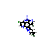 Fc1ccc(-c2nn3c(c2-c2c(F)cnc4[nH]ncc24)C[C@@]2(C3)CC2(F)F)nc1